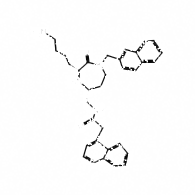 NCCCC[C@@H]1N[C@@H](CNC(=O)Cc2cccc3ccccc23)CCN(Cc2ccc3ccccc3c2)C1=O